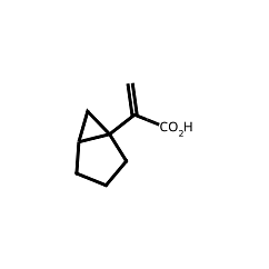 C=C(C(=O)O)C12CCCC1C2